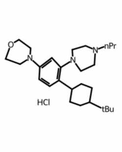 CCCN1CCN(c2cc(N3CCOCC3)ccc2C2CCC(C(C)(C)C)CC2)CC1.Cl